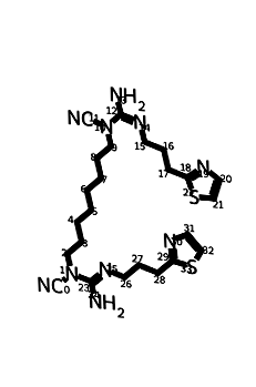 N#CN(CCCCCCCCN(C#N)C(N)=NCCCc1nccs1)C(N)=NCCCc1nccs1